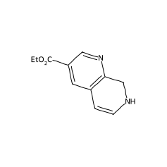 CCOC(=O)c1cnc2c(c1)C=CNC2